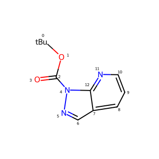 CC(C)(C)OC(=O)n1ncc2cccnc21